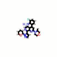 CC1COCCN1c1cc(-c2cccc(F)c2N)c2ccnc(-c3ccnn3C3CCCCO3)c2n1